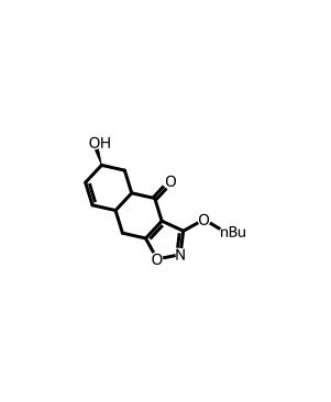 CCCCOc1noc2c1C(=O)C1C[C@H](O)C=CC1C2